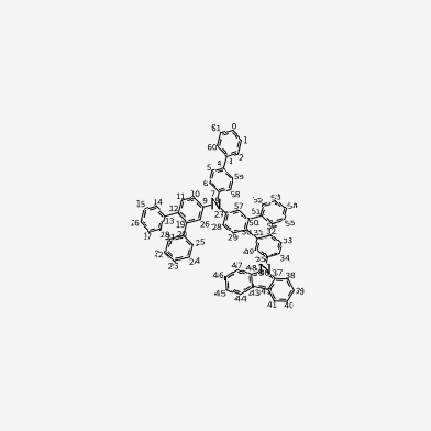 c1ccc(-c2ccc(N(c3ccc(-c4ccccc4)c(-c4ccccc4)c3)c3ccc(-c4cccc(-n5c6ccccc6c6ccccc65)c4)c(-c4ccccc4)c3)cc2)cc1